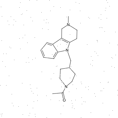 CC(=O)N1CCC(Cn2c3c(c4ccccc42)CN(C)CC3)CC1